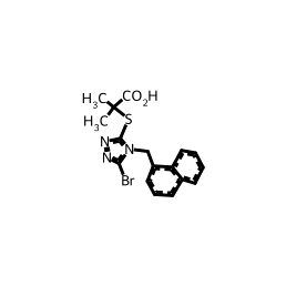 CC(C)(Sc1nnc(Br)n1Cc1cccc2ccccc12)C(=O)O